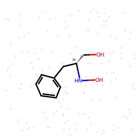 OC[C@@H](Cc1ccccc1)NO